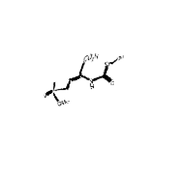 COP(C)(=O)CC=C(NC(=O)OC(C)(C)C)C(=O)O